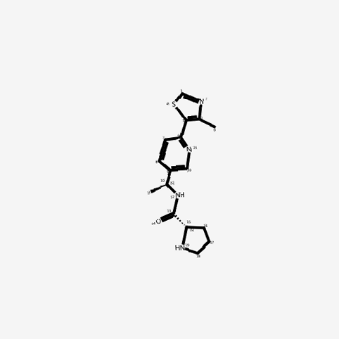 Cc1ncsc1-c1ccc([C@H](C)NC(=O)[C@@H]2CCCN2)cn1